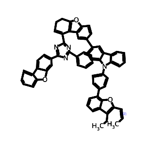 C/C=C\c1oc2c(-c3ccc(-n4c5ccccc5c5cc(-c6ccc7oc8c(c7c6)C(c6nc(-c7ccccc7)nc(-c7ccc9c(c7)oc7ccccc79)n6)=CCC8)ccc54)cc3)cccc2c1CC